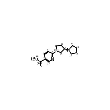 C[C@H](c1ccc(N2CCC(N3CCCC3)C2)nc1)C(C)(C)C